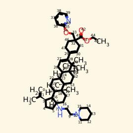 C=C(C)[C@@H]1CC[C@]2(NCCN3CCCCC3)CC[C@]3(C)[C@H](CC[C@@H]4[C@@]5(C)CC=C(C6=CCC(COc7ccccn7)(C(=O)OCC)CC6)C(C)(C)[C@@H]5CC[C@]43C)[C@@H]12